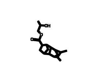 CC(O)COC(=O)C1CC2CC1C1C3CC(C(C)C3C)C21